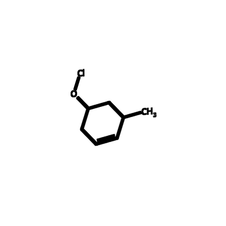 CC1C=CCC(OCl)C1